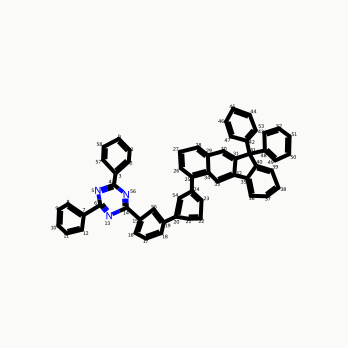 c1ccc(-c2nc(-c3ccccc3)nc(-c3cccc(-c4cccc(-c5cccc6cc7c(cc56)-c5ccccc5C7(c5ccccc5)c5ccccc5)c4)c3)n2)cc1